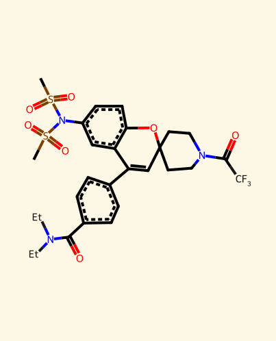 CCN(CC)C(=O)c1ccc(C2=CC3(CCN(C(=O)C(F)(F)F)CC3)Oc3ccc(N(S(C)(=O)=O)S(C)(=O)=O)cc32)cc1